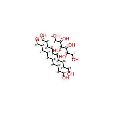 OCC(O)C(O)C(O)C(O)CO.OCCCCCCCCCCO.OCCCCCCCCCCO